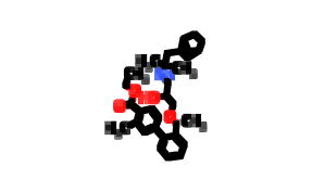 CCOC(=O)c1ccc(-c2ccccc2[C@@H](C)OCC(O)CNC(C)(C)CC2CC3CCC2C3)cc1C